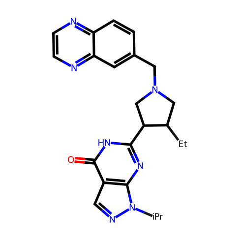 CCC1CN(Cc2ccc3nccnc3c2)CC1c1nc2c(cnn2C(C)C)c(=O)[nH]1